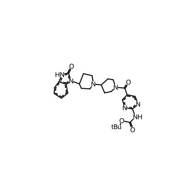 CC(C)(C)OC(=O)Nc1ncc(C(=O)N2CCC(N3CCC(n4c(=O)[nH]c5ccccc54)CC3)CC2)cn1